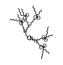 CCCCCCC(CCCC)C(=O)OCCCCC/C(=C/CCN(CCCCOC(=O)C(CCCC)CCCCCC)CCCC1=CCCN(CCN(CCCCOC(=O)C(CCCC)CCCCCC)CCCCOC(=O)C(CCCC)CCCCCC)CC1)CCCCOC(=O)C(CCCC)CCCCCC